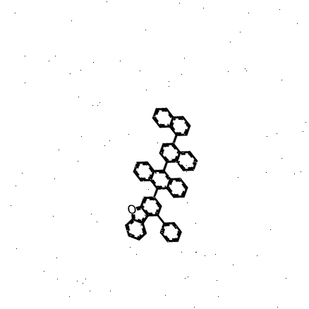 c1ccc(-c2cc(-c3c4ccccc4c(-c4ccc(-c5cccc6ccccc56)c5ccccc45)c4ccccc34)cc3oc4ccccc4c23)cc1